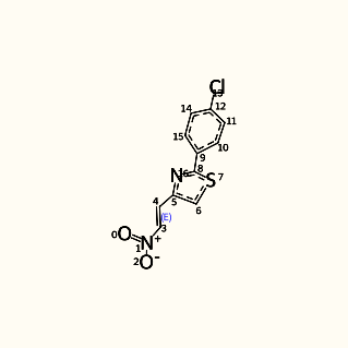 O=[N+]([O-])/C=C/c1csc(-c2ccc(Cl)cc2)n1